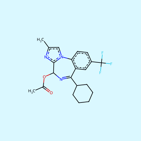 CC(=O)OC1N=C(C2CCCCC2)c2cc(C(F)(F)F)ccc2-n2cc(C)nc21